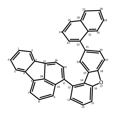 c1ccc2c(c1)-c1cccc3c(-c4cccc5oc6ccc(-c7cccc8ccccc78)cc6c45)ccc-2c13